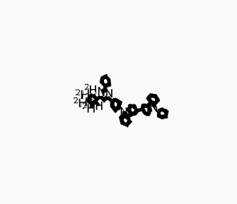 [2H]c1c([2H])c([2H])c(-c2cc(-c3ccc(-n4c5ccccc5c5cc(-c6ccc7c(c6)c6ccccc6n7-c6ccccc6)ccc54)cc3)nc(-c3ccccc3)n2)c([2H])c1[2H]